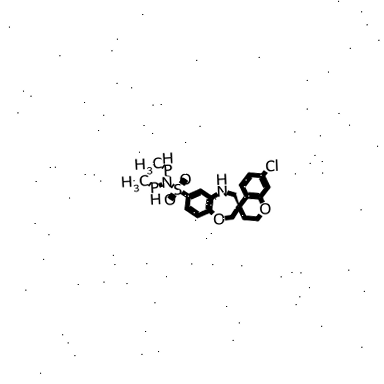 CPN(PC)S(=O)(=O)c1ccc2c(c1)NC[C@@]1(CCOc3cc(Cl)ccc31)CO2